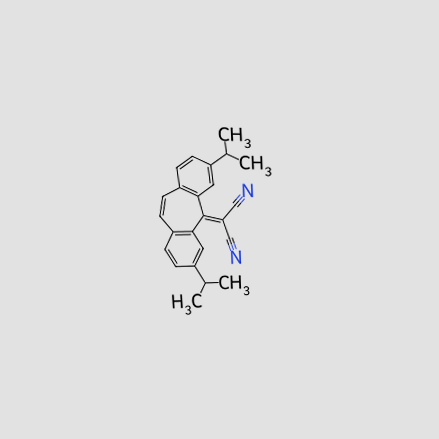 CC(C)c1ccc2c(c1)C(=C(C#N)C#N)c1cc(C(C)C)ccc1C=C2